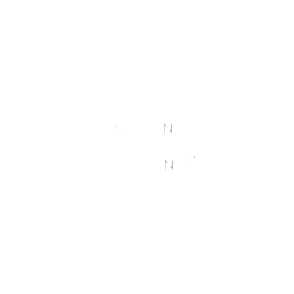 [c]1nc(-c2cccs2)no1